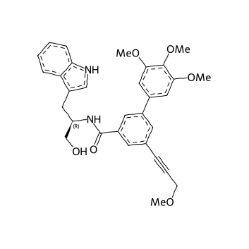 COCC#Cc1cc(C(=O)N[C@@H](CO)Cc2c[nH]c3ccccc23)cc(-c2cc(OC)c(OC)c(OC)c2)c1